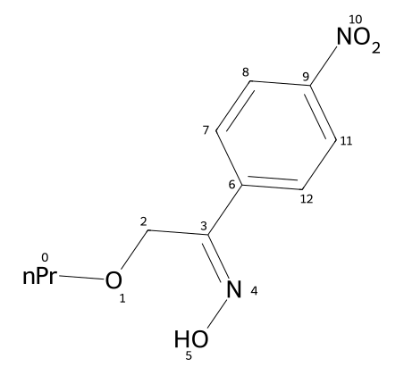 CCCOCC(=NO)c1ccc([N+](=O)[O-])cc1